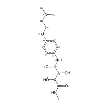 CNC(=O)C(O)C(O)C(=O)Nc1ccc(OCCN(C)C)cc1